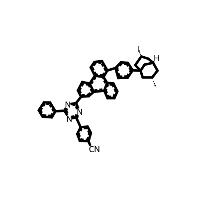 C[C@H]1C[C@H]2C[C@@H](I)CC(c3ccc(-c4cccc5c6ccc(-c7nc(-c8ccccc8)nc(-c8ccc(C#N)cc8)n7)cc6c6ccccc6c45)cc3)(C1)C2